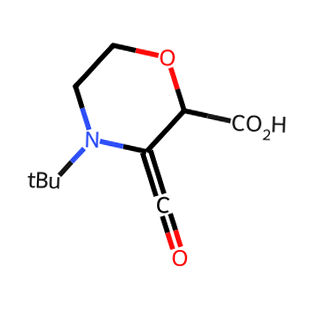 CC(C)(C)N1CCOC(C(=O)O)C1=C=O